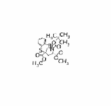 COC(=O)[C@@H]1C[C@](Sc2ccccc2Br)(C(=O)OC)CN1C(=O)OC(C)(C)C